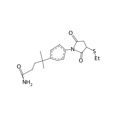 CCSC1CC(=O)N(c2ccc(C(C)(C)CCC(N)=O)cc2)C1=O